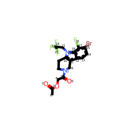 CC(=O)OCC(=O)N1CCc2c(c3ccc(Br)c(F)c3n2CC(F)(F)F)C1